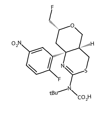 CC(C)(C)N(C(=O)O)C1=N[C@@]2(c3cc([N+](=O)[O-])ccc3F)C[C@H](CF)OC[C@H]2CS1